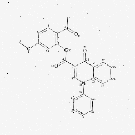 COc1ccc(C(C)=O)c(OC(=O)c2cn(-c3ccccc3)c3ccccc3c2=O)c1